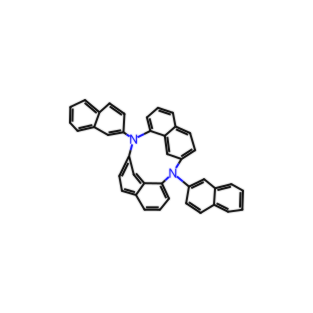 c1ccc2cc(-n3c4ccc5cccc(c5c4)n(-c4ccc5ccccc5c4)c4ccc5cccc3c5c4)ccc2c1